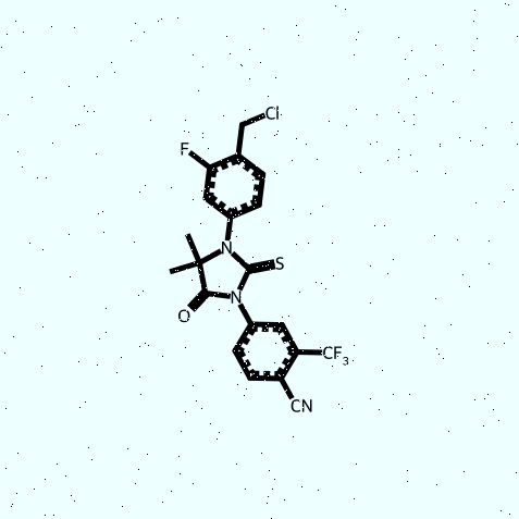 CC1(C)C(=O)N(c2ccc(C#N)c(C(F)(F)F)c2)C(=S)N1c1ccc(CCl)c(F)c1